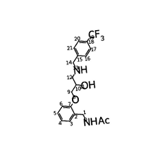 CC(=O)NCc1ccccc1OCC(O)CNCc1ccc(C(F)(F)F)cc1